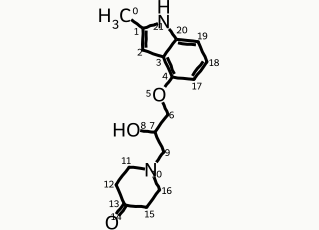 Cc1cc2c(OCC(O)CN3CCC(=O)CC3)cccc2[nH]1